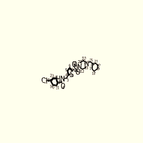 O=C(NCc1ccc(S(=O)(=O)N2CCN(CC3CCCCC3)CC2)s1)c1ccc(Cl)cc1